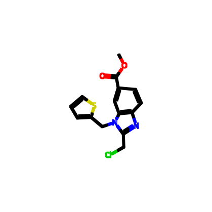 COC(=O)c1ccc2nc(CCl)n(Cc3cccs3)c2c1